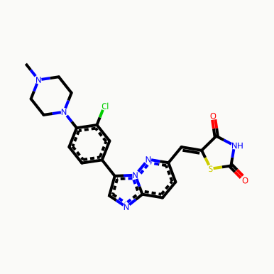 CN1CCN(c2ccc(-c3cnc4ccc(/C=C5\SC(=O)NC5=O)nn34)cc2Cl)CC1